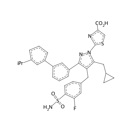 CC(C)c1cccc(-c2cccc(-c3nn(-c4nc(C(=O)O)cs4)c(CC4CC4)c3Cc3ccc(S(N)(=O)=O)c(F)c3)c2)c1